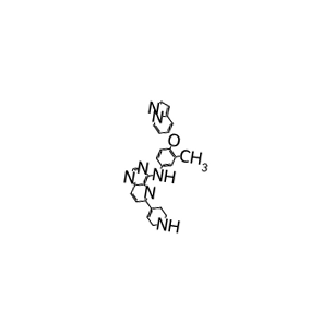 Cc1cc(Nc2ncnc3ccc(C4=CCNCC4)nc23)ccc1Oc1ccn2nccc2c1